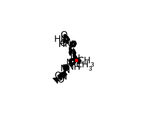 CC(C)n1nc(N2CCN(Cc3ccccc3NC3CCC(=O)NC3=O)CC2)c2cnc(Nc3ccnc(-c4cnn(S(=O)(=O)C5CC5)c4)n3)cc21